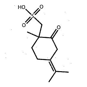 CC(C)=C1CCC(C)(CS(=O)(=O)O)C(=O)C1